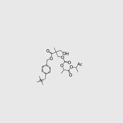 CC(=O)C(C)OC(=O)C(C)OC(=O)OCC(C)(CO)C(=O)OCc1ccc(C[N+](C)(C)C)cc1